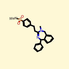 CNS(=O)(=O)c1ccc(CCC2=NC(c3ccccc3)c3ccccc3CN2C)cc1